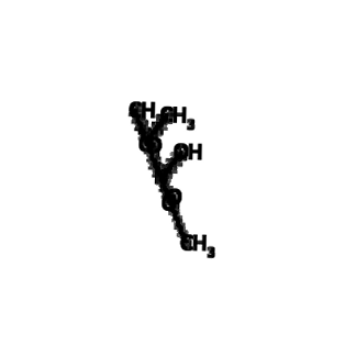 CCCCCCCCCCCOC(=O)CCCCCN(CCCCCCCO)CCCCCCCC(=O)OC(CCCCCCCC)CCCCCCCC